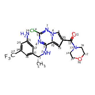 C[C@@H](Nc1nc(Cl)nn2cc(C(=O)N3CCOCC3)cc12)c1cc(N)cc(C(F)(F)F)c1